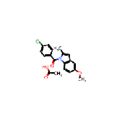 CC(=O)O.COc1ccc2c(c1)cc(C)n2C(=O)c1ccc(Cl)cc1